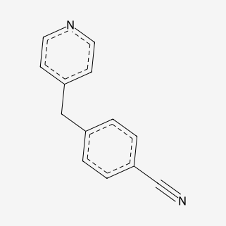 N#Cc1ccc(Cc2ccncc2)cc1